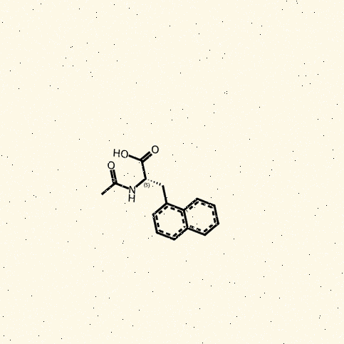 CC(=O)N[C@@H](Cc1cccc2ccccc12)C(=O)O